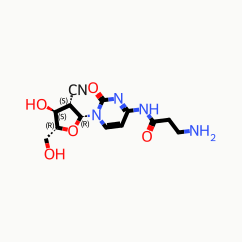 N#C[C@H]1[C@H](O)[C@@H](CO)O[C@H]1n1ccc(NC(=O)CCN)nc1=O